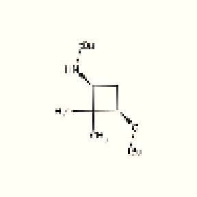 CC(C)(C)N[C@H]1C[C@@H](OC(C)(C)C)C1(C)C